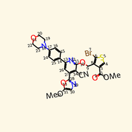 COC(=O)c1csc(Br)c1COc1nc(-c2ccc(N3CCOCC3)cc2)cc(-c2ncc(OC)o2)c1C#N